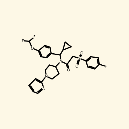 O=C(CS(=O)(=O)c1ccc(F)cc1)N(C1CCN(c2ccccn2)CC1)C(c1ccc(OC(F)F)cc1)C1CC1